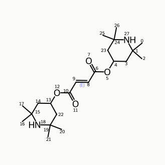 CC1(C)CC(OC(=O)/C=C/C(=O)OC2CC(C)(C)NC(C)(C)C2)CC(C)(C)N1